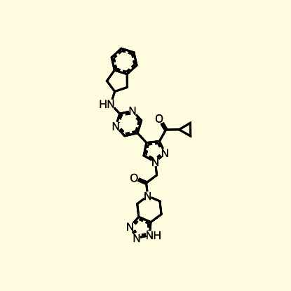 O=C(c1nn(CC(=O)N2CCc3[nH]nnc3C2)cc1-c1cnc(NC2Cc3ccccc3C2)nc1)C1CC1